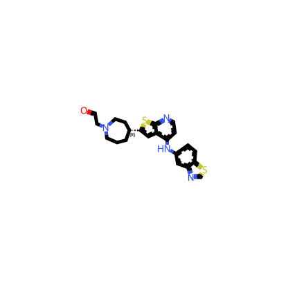 O=CCN1CCC[C@@H](c2cc3c(Nc4ccc5scnc5c4)ccnc3s2)CC1